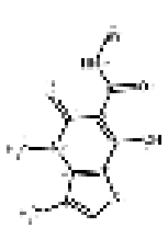 Cc1csc2c(O)c(C(=O)NC(C)C)c(=O)n(C)c12